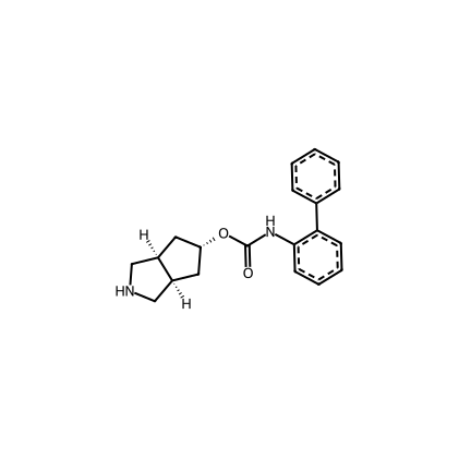 O=C(Nc1ccccc1-c1ccccc1)O[C@@H]1C[C@H]2CNC[C@H]2C1